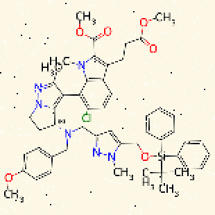 COC(=O)CCc1c(C(=O)OC)n(C)c2c(-c3c(C)nn4c3[C@H](N(Cc3ccc(OC)cc3)Cc3cc(CO[Si](c5ccccc5)(c5ccccc5)C(C)(C)C)n(C)n3)CC4)c(Cl)ccc12